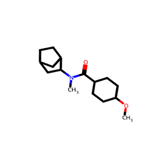 COC1CCC(C(=O)N(C)C2CC3CCC2C3)CC1